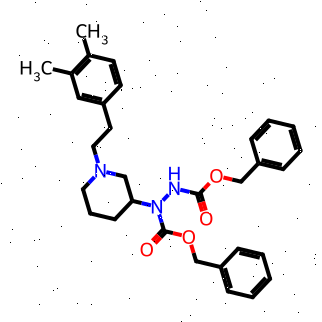 Cc1ccc(CCN2CCCC(N(NC(=O)OCc3ccccc3)C(=O)OCc3ccccc3)C2)cc1C